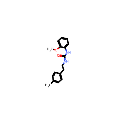 COc1ccccc1NC(=O)NCCc1ccc(C)cc1